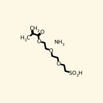 C=C(C)C(=O)OCCOCCOCCS(=O)(=O)O.N